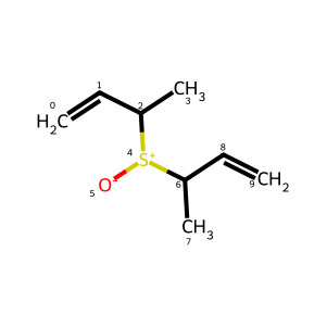 C=CC(C)[S+]([O-])C(C)C=C